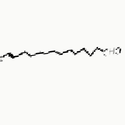 CCC=CCCCCCCCCCCCC=O